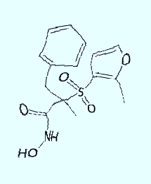 Cc1occc1S(=O)(=O)C(C)(Cc1ccccc1)C(=O)NO